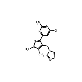 Cc1c(Cn2ccnn2)c(-c2cc(Cl)nc(N)n2)nn1C